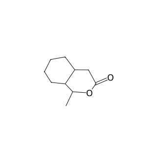 CC1OC(=O)CC2CCCCC21